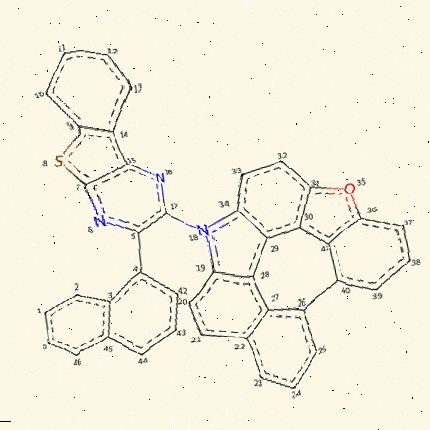 c1ccc2c(-c3nc4sc5ccccc5c4nc3-n3c4ccc5cccc6c5c4c4c5c(ccc43)oc3cccc-6c35)cccc2c1